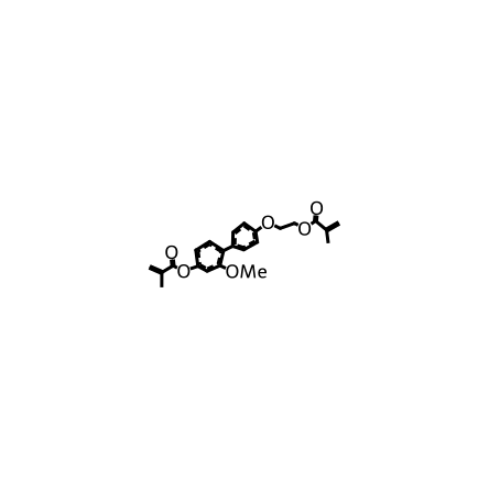 C=C(C)C(=O)OCCOc1ccc(-c2ccc(OC(=O)C(=C)C)cc2OC)cc1